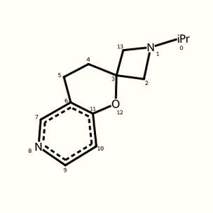 CC(C)N1CC2(CCc3cnccc3O2)C1